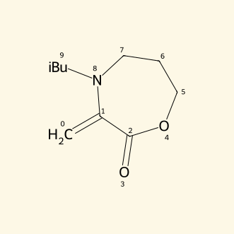 C=C1C(=O)OCCCN1C(C)CC